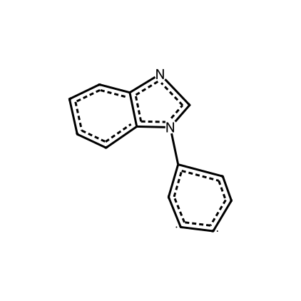 [c]1[c]cc(-n2cnc3ccccc32)cc1